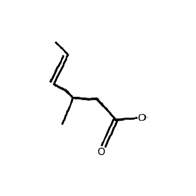 CC=CC(C)CC([O])=O